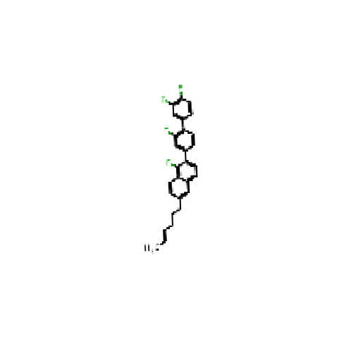 CCCCCCc1ccc2c(F)c(-c3ccc(-c4ccc(F)c(F)c4)c(F)c3)ccc2c1